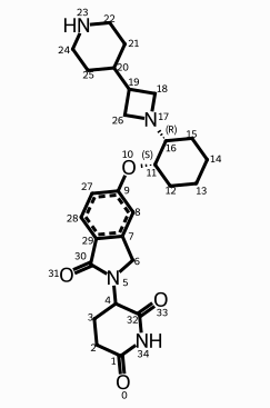 O=C1CCC(N2Cc3cc(O[C@H]4CCCC[C@H]4N4CC(C5CCNCC5)C4)ccc3C2=O)C(=O)N1